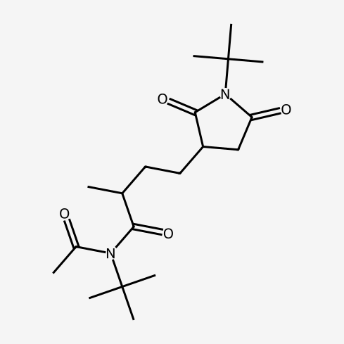 CC(=O)N(C(=O)C(C)CCC1CC(=O)N(C(C)(C)C)C1=O)C(C)(C)C